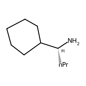 CCC[C@@H](N)C1CCCCC1